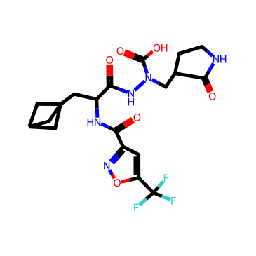 O=C(NC(CC12CC(C1)C2)C(=O)NN(CC1CCNC1=O)C(=O)O)c1cc(C(F)(F)F)on1